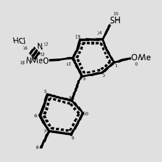 COc1cc(-c2ccc(C)cc2)c(OC)cc1S.Cl.N#N